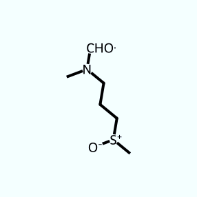 CN([C]=O)CCC[S+](C)[O-]